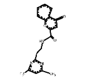 Cc1cc(C(F)(F)F)nc(CCNC(=O)c2cc(=O)c3ccccc3o2)n1